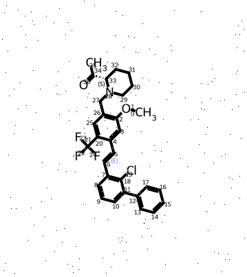 COc1cc(/C=C/c2cccc(-c3ccccc3)c2Cl)c(C(F)(F)F)cc1CN1CCCC[C@H]1C(C)=O